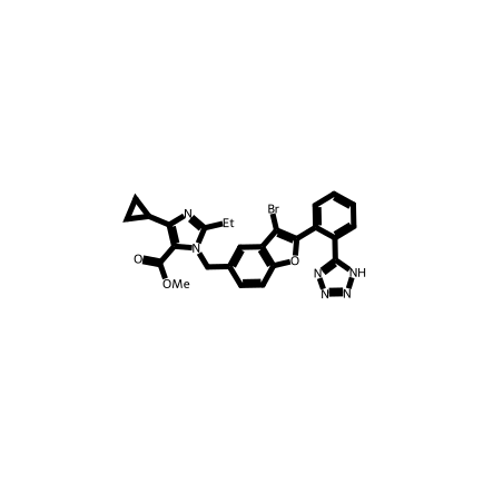 CCc1nc(C2CC2)c(C(=O)OC)n1Cc1ccc2oc(-c3ccccc3-c3nnn[nH]3)c(Br)c2c1